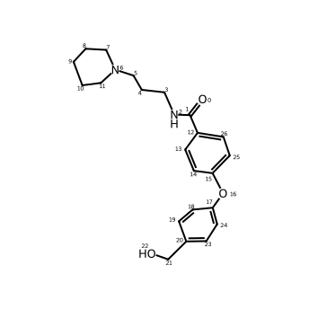 O=C(NCCCN1CCCCC1)c1ccc(Oc2ccc(CO)cc2)cc1